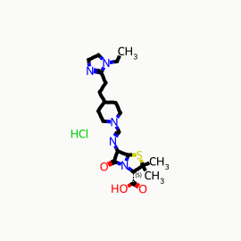 CCN1CCN=C1CCC1CCN(C=NC2C(=O)N3C2SC(C)(C)[C@@H]3C(=O)O)CC1.Cl